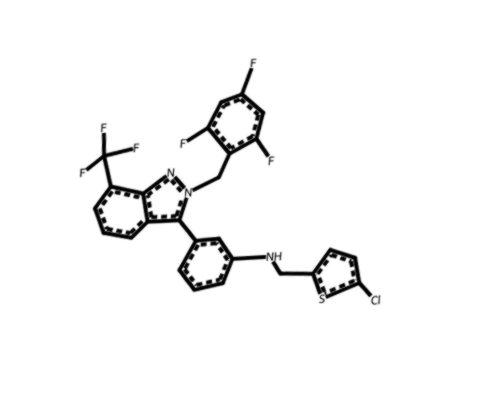 Fc1cc(F)c(Cn2nc3c(C(F)(F)F)cccc3c2-c2cccc(NCc3ccc(Cl)s3)c2)c(F)c1